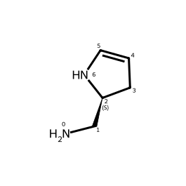 NC[C@@H]1CC=CN1